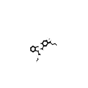 CCCc1n[nH]c2cc(O)c(C(=O)N3Cc4ccccc4C3C(=O)NCC)cc12